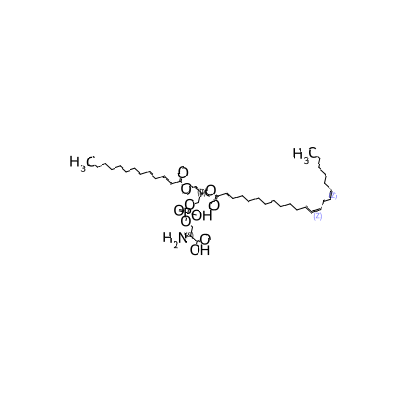 CCCCC/C=C\C/C=C\CCCCCCCCCCCC(=O)O[C@H](COC(=O)CCCCCCCCCCCC)COP(=O)(O)OC[C@H](N)C(=O)O